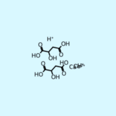 O=C(O)CC(O)C(=O)O.O=C(O)CC(O)C(=O)O.[Ca+2].[Ca+2].[H+].[H+]